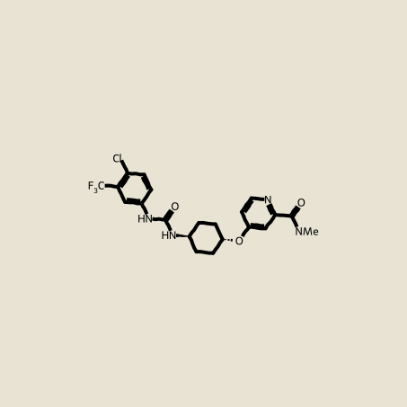 CNC(=O)c1cc(O[C@H]2CC[C@H](NC(=O)Nc3ccc(Cl)c(C(F)(F)F)c3)CC2)ccn1